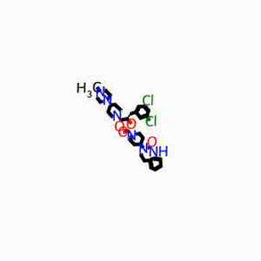 CN1CCN(C2CCN(C(=O)[C@@H](Cc3cc(Cl)cc(Cl)c3)OC(=O)N3CCC(N4CCc5ccccc5NC4=O)CC3)CC2)CC1